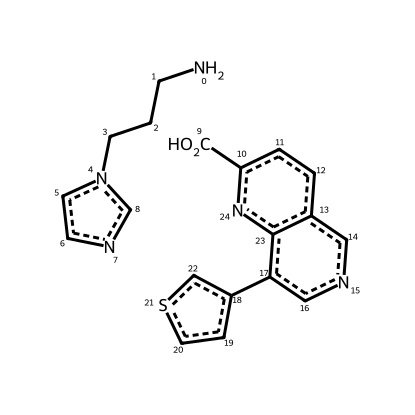 NCCCn1ccnc1.O=C(O)c1ccc2cncc(-c3ccsc3)c2n1